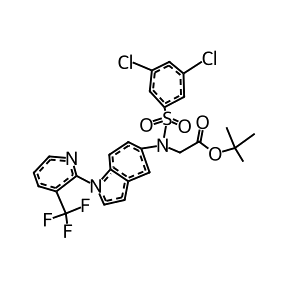 CC(C)(C)OC(=O)CN(c1ccc2c(ccn2-c2ncccc2C(F)(F)F)c1)S(=O)(=O)c1cc(Cl)cc(Cl)c1